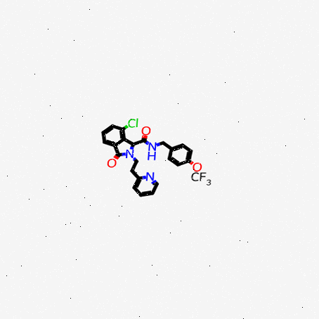 O=C(NCc1ccc(OC(F)(F)F)cc1)C1c2c(Cl)cccc2C(=O)N1CCc1ccccn1